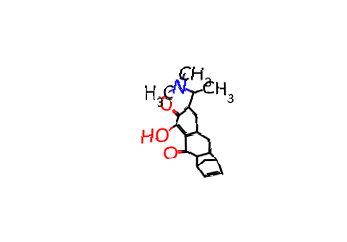 CC(C1CC2CC3C4C=CC(C4)C3C(=O)C2=C(O)C1=O)N(C)C